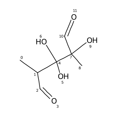 CC(C=O)C(O)(O)C(C)(O)C=O